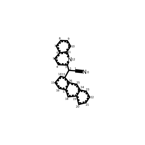 N#CC(c1ccc2ccccc2n1)c1cccc2cc3ccccc3cc12